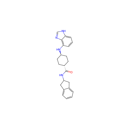 O=C(NC1Cc2ccccc2C1)[C@H]1CC[C@H](Nc2cccc3[nH]cnc23)CC1